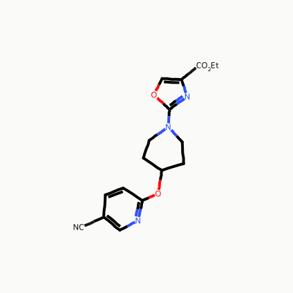 CCOC(=O)c1coc(N2CCC(Oc3ccc(C#N)cn3)CC2)n1